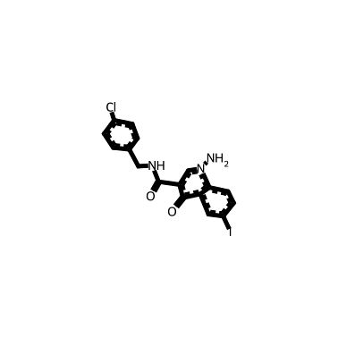 Nn1cc(C(=O)NCc2ccc(Cl)cc2)c(=O)c2cc(I)ccc21